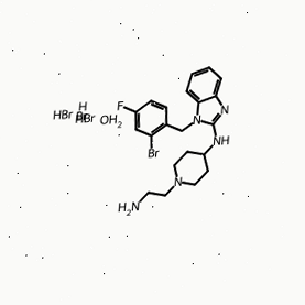 Br.Br.Br.NCCN1CCC(Nc2nc3ccccc3n2Cc2ccc(F)cc2Br)CC1.O